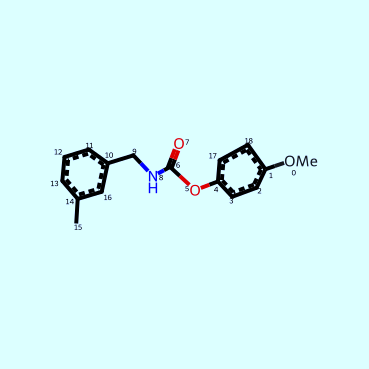 COc1ccc(OC(=O)NCc2cccc(C)c2)cc1